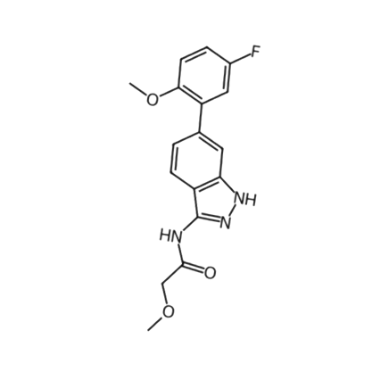 COCC(=O)Nc1n[nH]c2cc(-c3cc(F)ccc3OC)ccc12